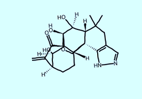 C=C1C(=O)[C@]23[C@H](O)[C@H]1CC[C@H]2[C@@]12CO[C@]3(O)[C@@H](O)[C@@H]1C(C)(C)Cc1cn[nH]c12